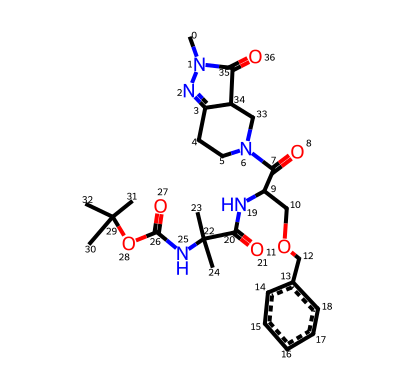 CN1N=C2CCN(C(=O)C(COCc3ccccc3)NC(=O)C(C)(C)NC(=O)OC(C)(C)C)CC2C1=O